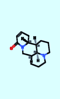 O=C1C=CC[C@@H]2[C@H]3CCCN4CCC[C@@H](CN12)[C@@H]34